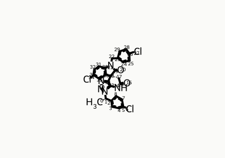 C[C@@H](c1ccc(Cl)cc1)n1nnc2c1NC(=O)C[C@]21C(=O)N(Cc2ccc(Cl)cc2)c2ccc(Cl)cc21